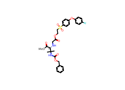 COC(=O)[C@H](NCC(=O)OCCS(=O)(=O)c1ccc(Oc2ccc(F)cc2)cc1)C(C)(C)NC(=O)OCc1ccccc1